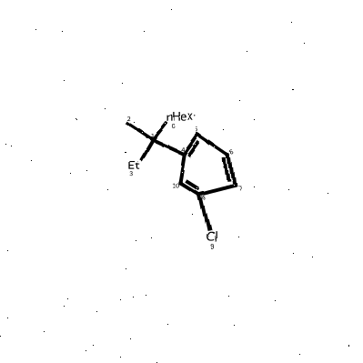 CCCCC[CH]C(C)(CC)c1cccc(Cl)c1